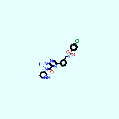 Nc1ncc(-c2cccc(CNS(=O)(=O)c3ccc(Cl)cc3)c2)nc1C(=O)N[C@H]1CCCNC1